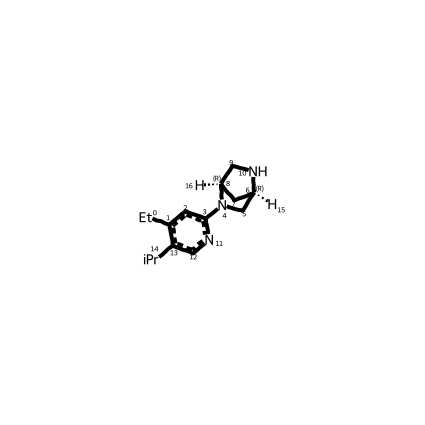 CCc1cc(N2C[C@H]3C[C@@H]2CN3)ncc1C(C)C